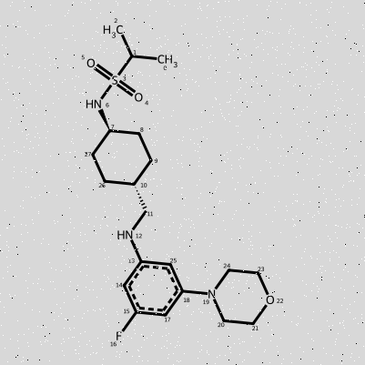 CC(C)S(=O)(=O)N[C@H]1CC[C@H](CNc2cc(F)cc(N3CCOCC3)c2)CC1